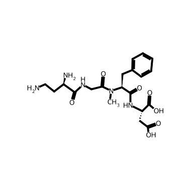 CN(C(=O)CNC(=O)[C@H](N)CCN)[C@@H](Cc1ccccc1)C(=O)N[C@@H](CC(=O)O)C(=O)O